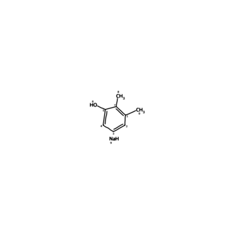 Cc1cccc(O)c1C.[NaH]